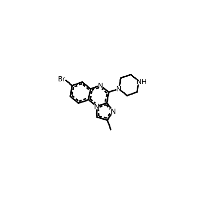 Cc1cn2c(n1)c(N1CCNCC1)nc1cc(Br)ccc12